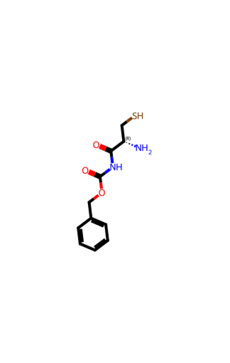 N[C@@H](CS)C(=O)NC(=O)OCc1ccccc1